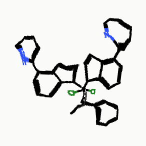 C[SiH](c1ccccc1)[Zr]([Cl])([Cl])([CH]1C=Cc2c(-c3ccccn3)cccc21)[CH]1C=Cc2c(-c3ccccn3)cccc21